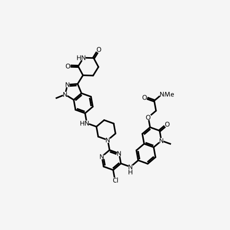 CNC(=O)COc1cc2cc(Nc3nc(N4CCCC(Nc5ccc6c(C7CCC(=O)NC7=O)nn(C)c6c5)C4)ncc3Cl)ccc2n(C)c1=O